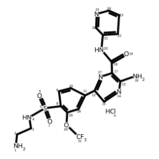 Cl.NCCNS(=O)(=O)c1ccc(-c2cnc(N)c(C(=O)Nc3cccnc3)n2)cc1OC(F)(F)F